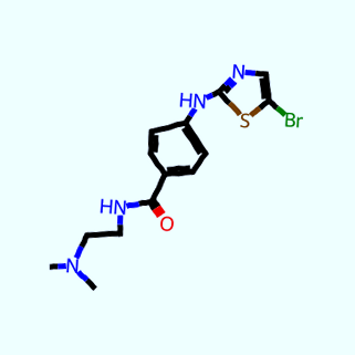 CN(C)CCNC(=O)c1ccc(Nc2ncc(Br)s2)cc1